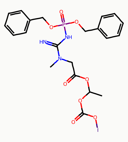 CC(OC(=O)CN(C)C(=N)NP(=O)(OCc1ccccc1)OCc1ccccc1)OC(=O)OI